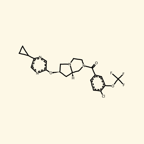 O=C(c1ccc(Cl)c(OC(F)(F)F)c1)N1CCN2C[C@H](Oc3cnc(C4CC4)cn3)C[C@H]2C1